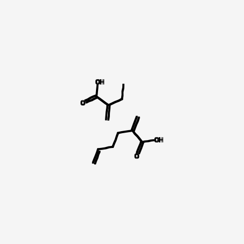 C=C(CC)C(=O)O.C=CCCC(=C)C(=O)O